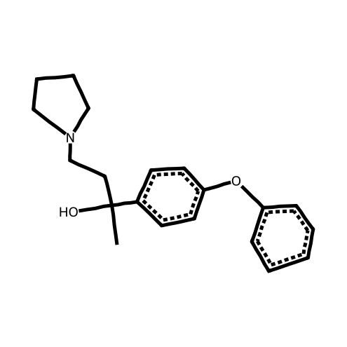 CC(O)(CCN1CCCC1)c1ccc(Oc2ccccc2)cc1